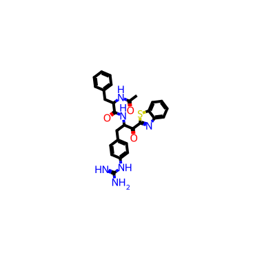 CC(=O)NC(Cc1ccccc1)C(=O)NC(Cc1ccc(NC(=N)N)cc1)C(=O)c1nc2ccccc2s1